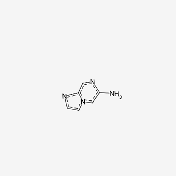 Nc1cn2ccnc2cn1